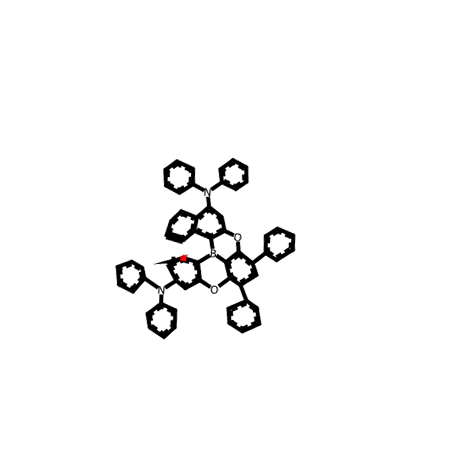 c1ccc2c(N(c3ccccc3)c3ccccc3)cc3c(c2c#1)B1c2c(cc(N(c4ccccc4)c4ccccc4)c4c2CCC=C4)Oc2c(-c4ccccc4)cc(-c4ccccc4)c(c21)O3